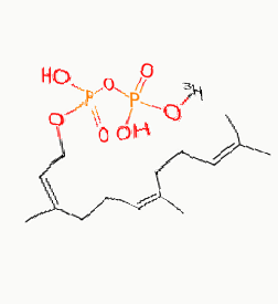 [3H]OP(=O)(O)OP(=O)(O)OCC=C(C)CCC=C(C)CCC=C(C)C